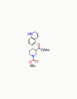 COC(=O)C1CN(C(=O)OC(C)(C)C)CC[C@@H]1c1ccc2c(c1)C=CCN2